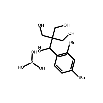 CC(C)(C)c1ccc(C(O)C(CO)(CO)CO)c(C(C)(C)C)c1.OP(O)O